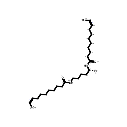 CCCC/C=C\CCCCCCCC(=O)NCCCC[C@H](NC(=O)CCCCCCC/C=C\CCCC)C(C)C